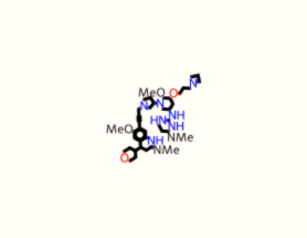 CNC1CC(C2CCOCC2)c2cc(OC)c(C#CCN3CCC(N4CC(NC5NCCC(NC)N5)CC(OCCCN5CCC5)C4OC)C3)cc2N1